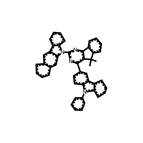 CC1(C)c2ccccc2-c2nc(-n3c4ccccc4c4cc5ccccc5cc43)nc(-c3ccc4c(c3)c3ccccc3n4-c3ccccc3)c21